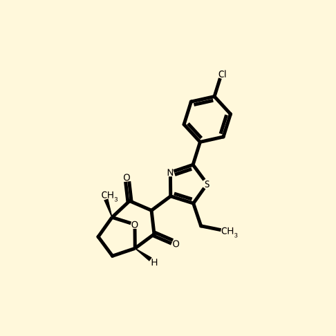 CCc1sc(-c2ccc(Cl)cc2)nc1C1C(=O)[C@@H]2CC[C@@](C)(O2)C1=O